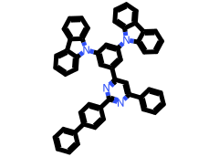 c1ccc(-c2ccc(-c3nc(-c4ccccc4)cc(-c4cc(-n5c6ccccc6c6ccccc65)cc(-n5c6ccccc6c6ccccc65)c4)n3)cc2)cc1